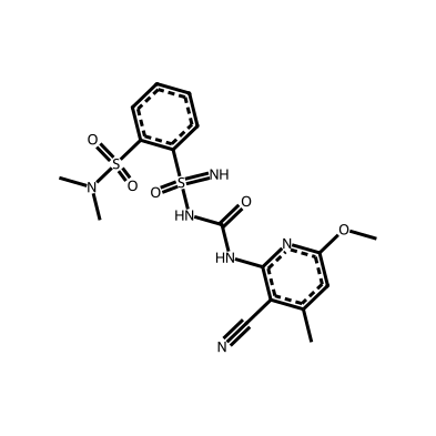 COc1cc(C)c(C#N)c(NC(=O)NS(=N)(=O)c2ccccc2S(=O)(=O)N(C)C)n1